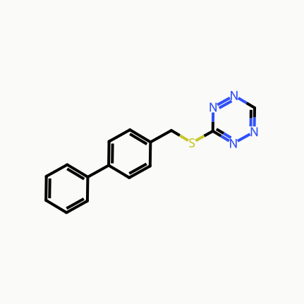 c1ccc(-c2ccc(CSc3nncnn3)cc2)cc1